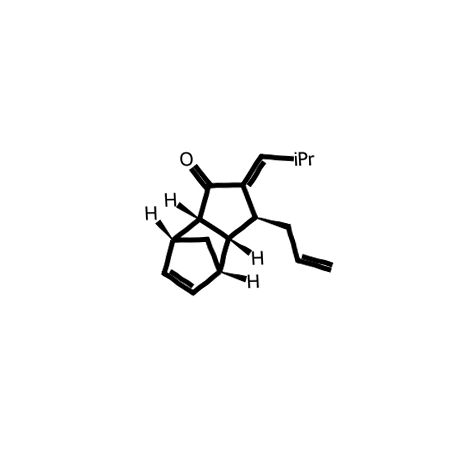 C=CC[C@@H]1/C(=C\C(C)C)C(=O)[C@@H]2[C@H]1[C@@H]1C=C[C@H]2C1